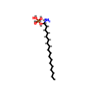 CCCCCCCCCCCCCCCCCC(N)OS(=O)(=O)O